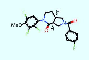 COc1c(F)cc(N2CC[C@H]3CN(C(=O)c4ccc(F)cc4)C[C@H]3C2=O)c(F)c1F